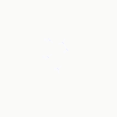 CCNCc1nn(CC)c(N)c1N